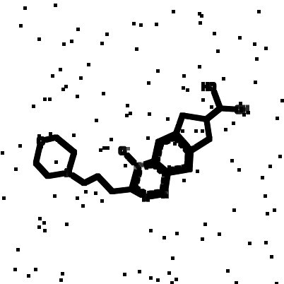 [O-][n+]1c(CCCN2CCOCC2)nnc2cc3c(cc21)CC(C(O)O)C3